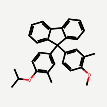 COc1ccc(C2(c3ccc(OC(C)C)c(C)c3)c3ccccc3-c3ccccc32)cc1C